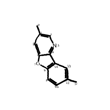 Cc1cnc2c(c1)oc1ccc(C)cc12